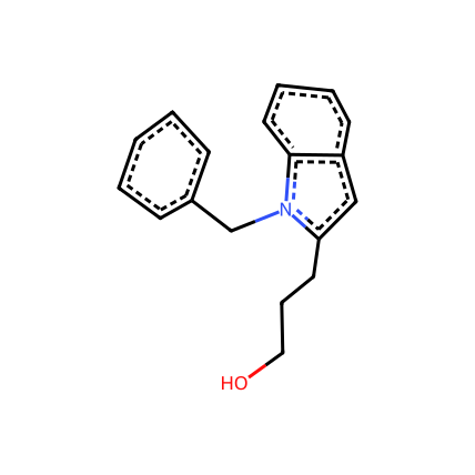 OCCCc1cc2ccccc2n1Cc1ccccc1